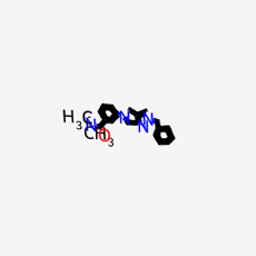 CN(C)C(=O)c1cccc(N2Cc3cn(Cc4ccccc4)nc3C2)c1